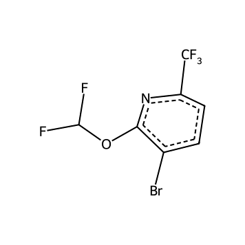 FC(F)Oc1nc(C(F)(F)F)ccc1Br